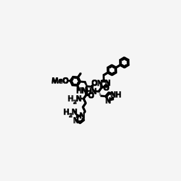 COc1cc(C)c(C[C@H](NC(=O)[C@H](N)CCCn2ccnc2N)C(=O)N[C@@H](Cc2c[nH]cn2)c2nc(Cc3ccc(-c4ccccc4)cc3)no2)c(C)c1